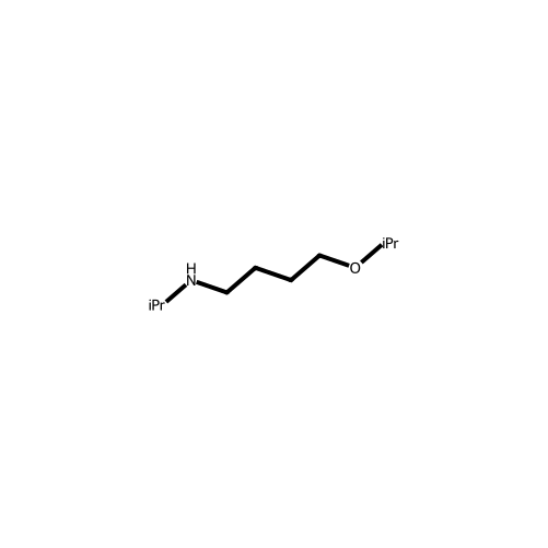 CC(C)NCCCCOC(C)C